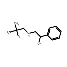 CC(C)(N)CNCC(O)c1ccccc1